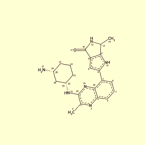 Cc1nc2cccc(-c3cc4c([nH]3)C(C)NC4=O)c2nc1N[C@H]1CCC[C@@H](N)C1